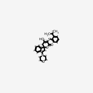 CC(C)c1ccccc1SC1=C(O)CC(CCN2CCOCC2)(c2ccccc2)OC1=O